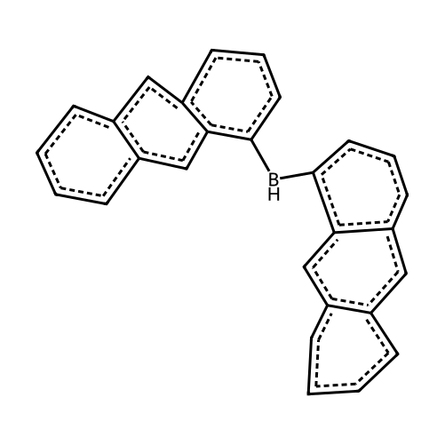 B(c1cccc2cc3ccccc3cc12)c1cccc2cc3ccccc3cc12